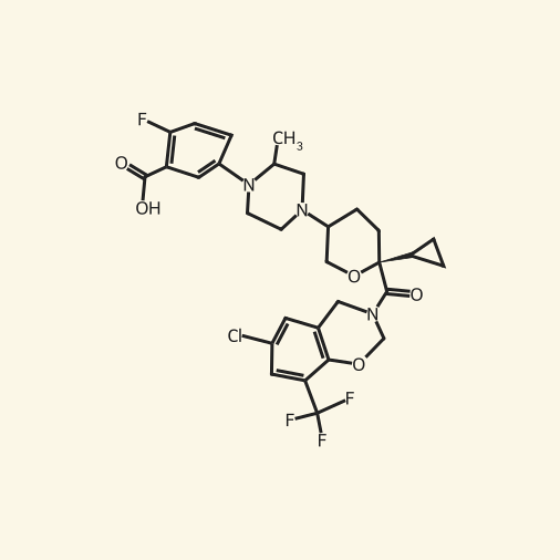 CC1CN(C2CC[C@@](C(=O)N3COc4c(cc(Cl)cc4C(F)(F)F)C3)(C3CC3)OC2)CCN1c1ccc(F)c(C(=O)O)c1